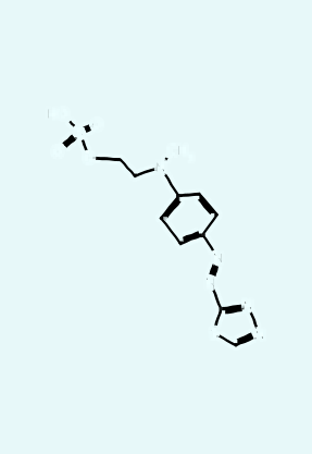 CN(CCOS(=O)(=O)O)c1ccc(/N=N/c2nncs2)cc1